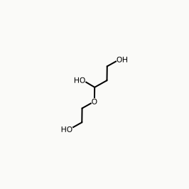 OCCOC(O)CCO